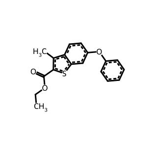 CCOC(=O)c1sc2cc(Oc3ccccc3)ccc2c1C